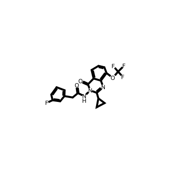 O=C(Cc1cccc(F)c1)Nn1c(C2CC2)nc2c(OC(F)(F)F)cccc2c1=O